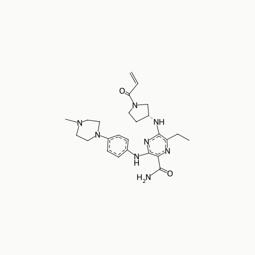 C=CC(=O)N1CC[C@@H](Nc2nc(Nc3ccc(N4CCN(C)CC4)cc3)c(C(N)=O)nc2CC)C1